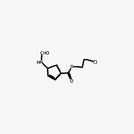 O=CNC1C=CC(C(=O)OCCCl)C1